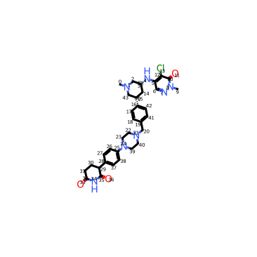 CN1C[C@H](Nc2cnn(C)c(=O)c2Cl)C[C@H](c2ccc(CN3CCN(c4ccc(C5CCC(=O)NC5=O)cc4)CC3)cc2)C1